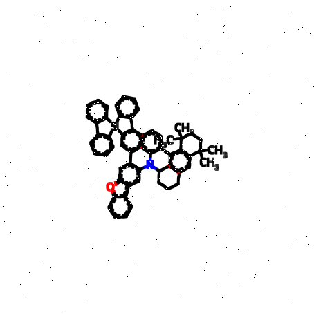 CC1(C)CCC(C)(C)c2c(-c3ccccc3N(c3cc4c(cc3-c3ccc5c(c3)[Si]3(c6ccccc6-c6ccccc63)c3ccccc3-5)oc3ccccc34)C3CCCCC3)cccc21